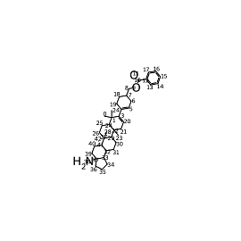 CC1(C)C(C2=CCC(COC(=O)c3ccccc3)CC2)=CCC2(C)C1CCC1(C)C2CCC2C3CCC[C@]3(N)CC[C@]21C